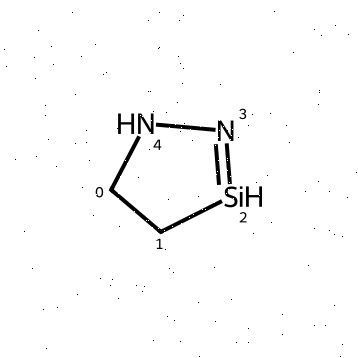 C1C[SiH]=NN1